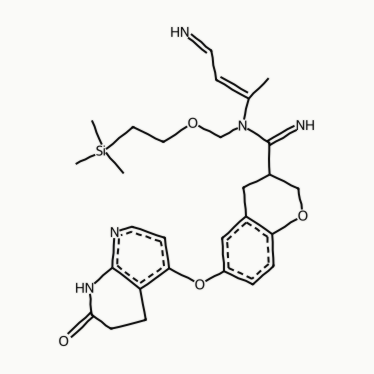 C/C(=C\C=N)N(COCC[Si](C)(C)C)C(=N)C1COc2ccc(Oc3ccnc4c3CCC(=O)N4)cc2C1